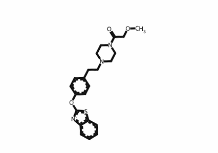 COCC(=O)N1CCN(CCc2ccc(Oc3nc4ccccc4s3)cc2)CC1